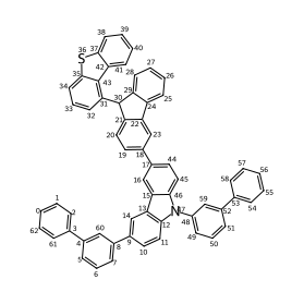 c1ccc(-c2cccc(-c3ccc4c(c3)c3cc(-c5ccc6c(c5)-c5ccccc5C6c5cccc6sc7ccccc7c56)ccc3n4-c3cccc(-c4ccccc4)c3)c2)cc1